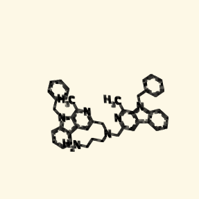 Cc1nc(CN(CCCN)Cc2cc3c4ccccc4n(Cc4ccccc4)c3c(C)n2)cc2c3ccccc3n(Cc3ccccc3)c12